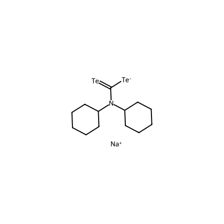 [Na+].[Te]=C([Te-])N(C1CCCCC1)C1CCCCC1